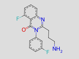 NCCCc1nc2cccc(F)c2c(=O)n1-c1cccc(F)c1